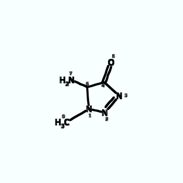 CN1N=NC(=O)C1N